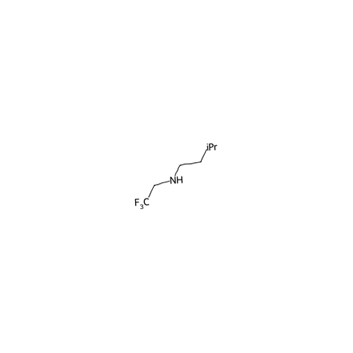 CC(C)CCNCC(F)(F)F